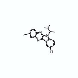 Cc1ccc2nc3c(nc2c1)c1cc(Cl)ccc1n3C(C)N(C)C